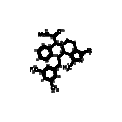 CCn1nc(C)c2c1CCN(C(C(=O)NC)c1ccccc1)C2CCc1cc(C(F)(F)F)cc(C(F)(F)F)c1